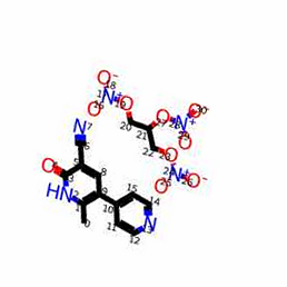 Cc1[nH]c(=O)c(C#N)cc1-c1ccncc1.O=[N+]([O-])OCC(CO[N+](=O)[O-])O[N+](=O)[O-]